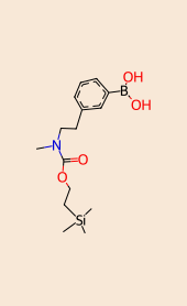 CN(CCc1cccc(B(O)O)c1)C(=O)OCC[Si](C)(C)C